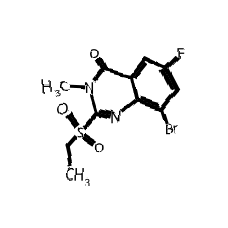 CCS(=O)(=O)c1nc2c(Br)cc(F)cc2c(=O)n1C